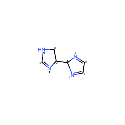 [C]1=NC(C2N=CC=N2)CN1